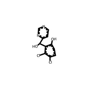 Oc1ccc(Cl)c(Cl)c1C(O)c1ccncn1